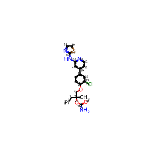 CC(C)CC(C)(COc1ccc(-c2ccnc(Nc3nccs3)c2)cc1Cl)OC(N)=O